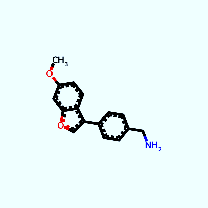 COc1ccc2c(-c3ccc(CN)cc3)coc2c1